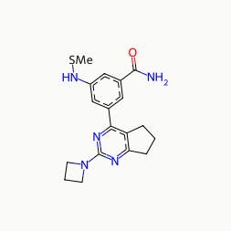 CSNc1cc(C(N)=O)cc(-c2nc(N3CCC3)nc3c2CCC3)c1